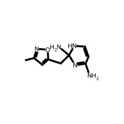 Cc1cc(CC2(N)N=C(N)C=CN2)on1